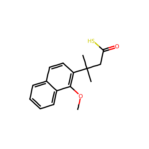 COc1c(C(C)(C)CC(=O)S)ccc2ccccc12